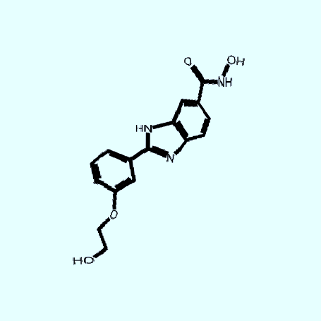 O=C(NO)c1ccc2nc(-c3cccc(OCCO)c3)[nH]c2c1